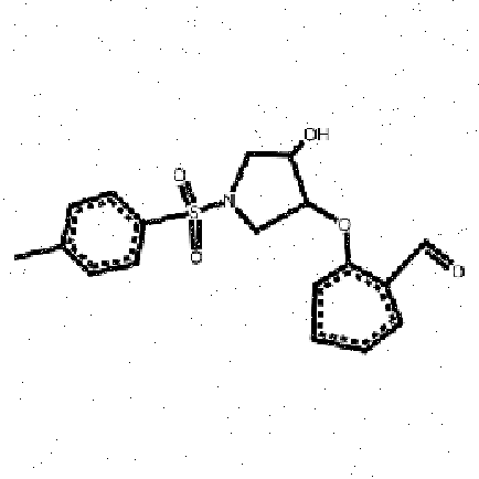 Cc1ccc(S(=O)(=O)N2CC(O)C(Oc3ccccc3C=O)C2)cc1